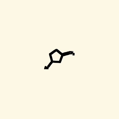 C=C1CCC(C(C)=O)C1